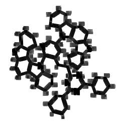 c1ccc(-c2nc(CCc3cc(-n4c5ccccc5c5ccc6sc7ccccc7c6c54)cnc3-n3c4ccccc4c4ccc5sc6ccccc6c5c43)nc(-c3ccccc3)n2)cc1